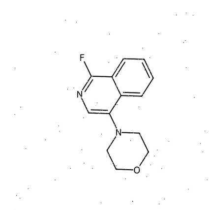 Fc1ncc(N2CCOCC2)c2ccccc12